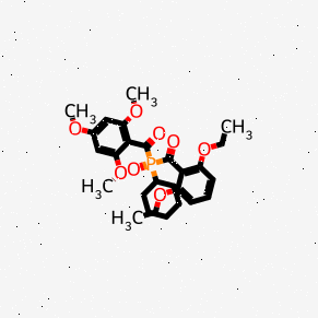 CCOc1cccc(OCC)c1C(=O)P(=O)(C(=O)c1c(OC)cc(OC)cc1OC)C1CCCCC1